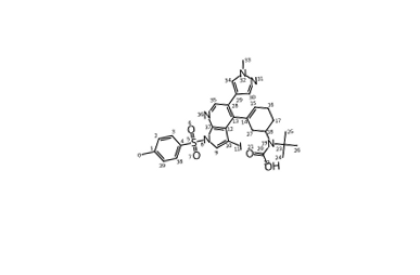 Cc1ccc(S(=O)(=O)n2cc(I)c3c(C4=CCCC(N(C(=O)O)C(C)(C)C)C4)c(-c4cnn(C)c4)cnc32)cc1